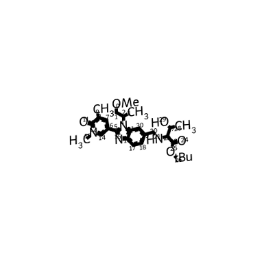 COCC(C)n1c(-c2cc(C)c(=O)n(C)c2)nc2ccc(CNC(C(=O)OC(C)(C)C)C(C)O)cc21